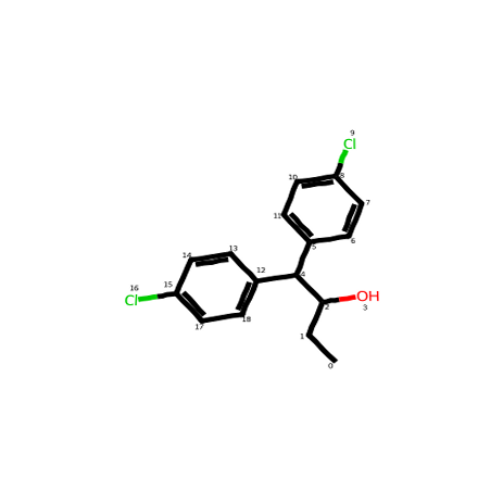 CCC(O)C(c1ccc(Cl)cc1)c1ccc(Cl)cc1